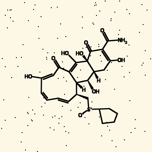 NC(=O)C1=C(O)C[C@@H]2[C@@H](O)[C@H]3C(=C(O)[C@]2(O)C1=O)C(=O)/C=C(O)/C=C\C=C\[C@@H]3C[S+]([O-])C1CCCC1